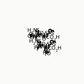 Nc1nc(C(=NOC(F)F)C(=O)NC2C(=O)N3C(C(=O)O)=C(C[n+]4cccc5ccsc54)SCC23)cs1.Nc1nc(C(=NOC(F)F)C(=O)NC2C(=O)N3C(C(=O)O)=C(C[n+]4cccc5ccsc54)SCC23)cs1.O=C([O-])C(F)(F)F.O=S(=O)([O-])C(F)(F)F